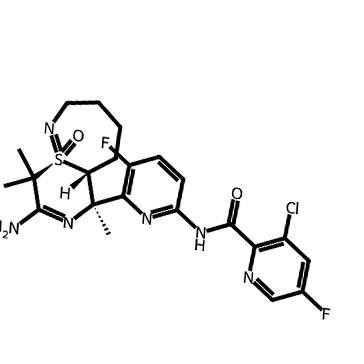 CC1(C)C(N)=N[C@](C)(c2nc(NC(=O)c3ncc(F)cc3Cl)ccc2F)[C@H]2CCCCN=[S@]21=O